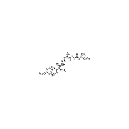 CO[C@@H]1CC[C@@H]2CC([C@H](C)C(=O)NCCCC(NCCNC[C@H](C)OC)C(C)=O)=CC[C@@H]2C1